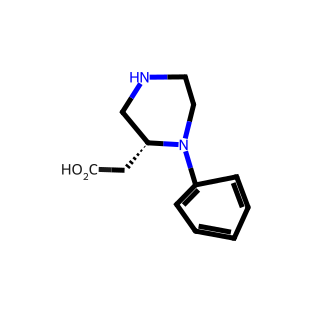 O=C(O)C[C@@H]1CNCCN1c1ccccc1